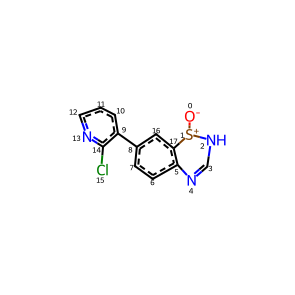 [O-][S+]1NC=Nc2ccc(-c3cccnc3Cl)cc21